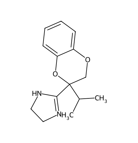 CC(C)C1(C2=NCCN2)COc2ccccc2O1